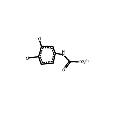 CCOC(=O)C(=O)Nc1ccc(Cl)c(Cl)c1